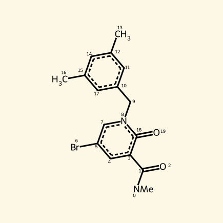 CNC(=O)c1cc(Br)cn(Cc2cc(C)cc(C)c2)c1=O